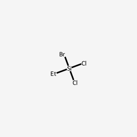 CC[Si](Cl)(Cl)Br